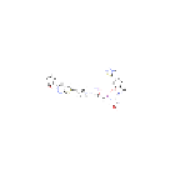 Cc1ncsc1-c1ccc(C(C)NC(=O)[C@@H]2C[C@@H](O)CN2C(=O)C(c2cc(N3CC4(CC(c5cc6cc(-c7ccccc7O)nnc6s5)C4)C3)no2)C(C)C)cc1